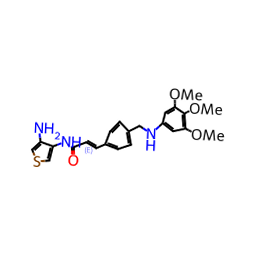 COc1cc(NCc2ccc(/C=C/C(=O)Nc3cscc3N)cc2)cc(OC)c1OC